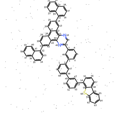 c1cc(-c2cccc(-c3cnc4c5cc(-c6cccc7ccccc67)ccc5c5ccc(-c6cccc7ccccc67)cc5c4n3)c2)cc(-c2cccc(-c3cccc4c3sc3ccccc34)c2)c1